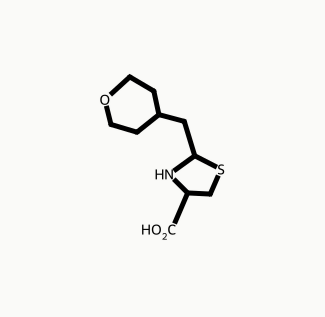 O=C(O)C1CSC(CC2CCOCC2)N1